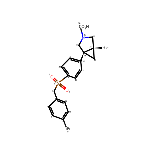 CC(C)c1ccc(CS(=O)(=O)c2ccc([C@]34C[C@H]3CN(C(=O)O)C4)cc2)cc1